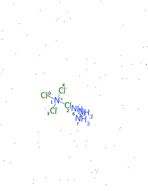 Cl[N+](Cl)(Cl)Cl.N.N.N